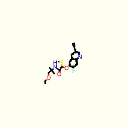 C#Cc1cnc2cc(F)c(OC(SC)C(=O)NC(C)(C)COCC)cc2c1